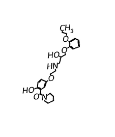 CCCOc1ccccc1OCC(O)CNCCOc1ccc(O)c(C(=O)N2CCCCC2)c1